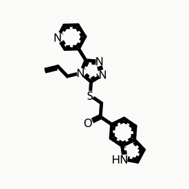 C=CCn1c(SCC(=O)c2ccc3cc[nH]c3c2)nnc1-c1cccnc1